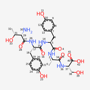 C[C@H](NC(=O)[C@H](Cc1ccc(O)cc1)NC(=O)[C@H](Cc1ccc(O)cc1)NC(=O)[C@@H](N)[C@@H](C)O)C(=O)N[C@@H](CO)C(=O)O